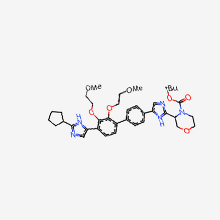 COCCOc1c(-c2ccc(-c3cnc(C4COCCN4C(=O)OC(C)(C)C)[nH]3)cc2)ccc(-c2cnc(C3CCCC3)[nH]2)c1OCCOC